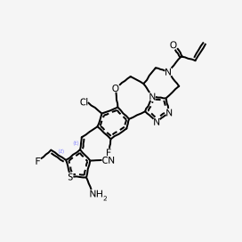 C=CC(=O)N1Cc2nnc3n2C(COc2c-3cc(F)c(/C=c3\c(C#N)c(N)s\c3=C/F)c2Cl)C1